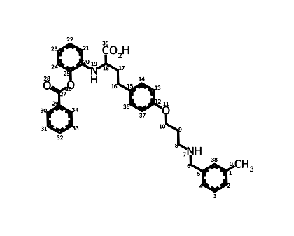 Cc1cccc(CNCCCOc2ccc(CCC(Nc3ccccc3OC(=O)c3ccccc3)C(=O)O)cc2)c1